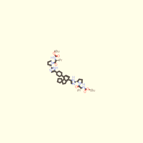 CC(C)[C@H](NC(=O)OC(C)(C)C)C(=O)N1CCC[C@@H]1c1ncc(-c2ccc(C3CCC(c4cnc([C@@H]5CCCN5C(=O)[C@@H](NC(=O)OC(C)(C)C)C(C)C)[nH]4)CC3)c3c2CCC32CCCC2)[nH]1